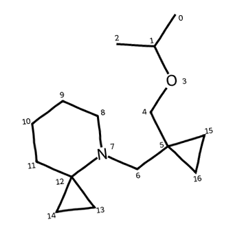 CC(C)OCC1(CN2CCCCC23CC3)CC1